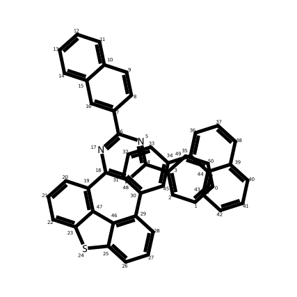 c1ccc(-c2nc(-c3ccc4ccccc4c3)nc(-c3cccc4sc5cccc(-c6cccc(-c7cccc8ccccc78)c6)c5c34)n2)cc1